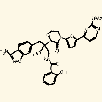 COc1nccc(-c2ccc(N3CCO[C@H](C(O)(CNC(=O)c4ccccc4O)Cc4ccc5c(N)noc5c4)C3=O)o2)n1